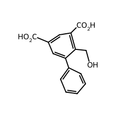 O=C(O)c1cc(C(=O)O)c(CO)c(-c2ccccc2)c1